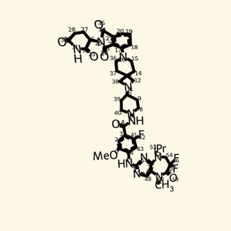 COc1cc(C(=O)NN2CCC(N3CC4(CCN(c5cccc6c5C(=O)N(C5CCC(=O)NC5=O)C6=O)CC4)C3)CC2)c(F)cc1Nc1ncc2c(n1)N(C(C)C)CC(F)(F)C(=O)N2C